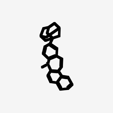 CN1c2ccc(C34CC5CC(CC(C5)C3)C4)cc2C=Cc2c1ccc1ccccc21